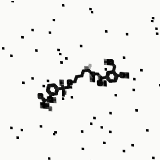 C[C@@H](CCCCOCC(F)(F)c1cccc(NC(N)=O)c1)NC[C@H](O)c1ccc(O)c(CO)c1